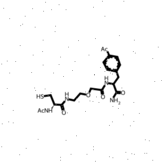 CC(=O)N[C@H](CS)C(=O)NCCOCC(=O)NC(Cc1ccc(C(C)=O)cc1)C(N)=O